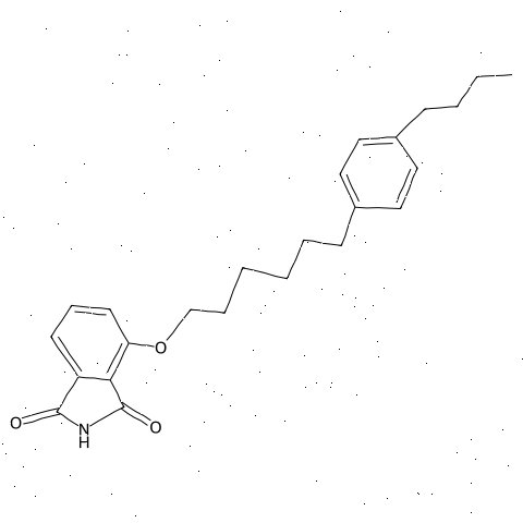 CCCCc1ccc(CCCCCCOc2cccc3c2C(=O)NC3=O)cc1